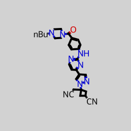 CCCCN1CCN(C(=O)c2ccc(Nc3nccc(-c4cnn(C5(CC#N)CC(C#N)C5)c4)n3)cc2)CC1